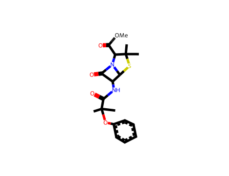 COC(=O)C1N2C(=O)C(NC(=O)C(C)(C)Oc3ccccc3)C2SC1(C)C